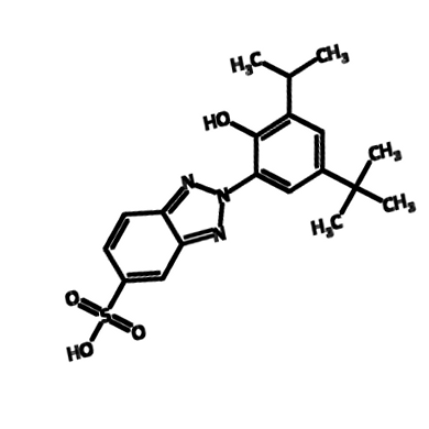 CC(C)c1cc(C(C)(C)C)cc(-n2nc3ccc(S(=O)(=O)O)cc3n2)c1O